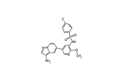 COc1ncc(-c2ccn3ncc(N)c3c2)cc1NS(=O)(=O)c1ccc(F)cc1